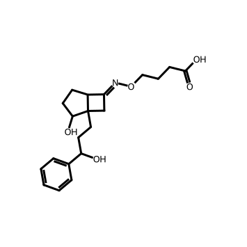 O=C(O)CCCON=C1CC2(CCC(O)c3ccccc3)C(O)CCC12